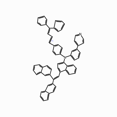 C(/C=C/c1ccc(N(c2cccc(-c3ccncc3)c2)c2ccc(C=C(c3ccc4ccccc4c3)c3ccc4ccccc4c3)c3ccccc23)cc1)=C(c1ccccc1)c1ccccc1